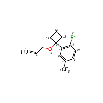 C=CCOC1(c2cc(C(F)(F)F)ccc2Br)CCC1